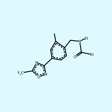 CCC(=O)N(CC)Cc1ccc(-c2noc(C(F)(F)F)n2)cc1C